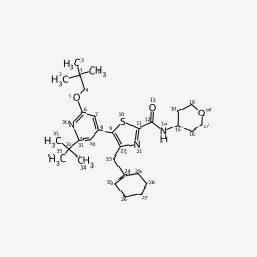 CC(C)(C)COc1cc(-c2sc(C(=O)NC3CCOCC3)nc2CC2CCCCC2)cc(C(C)(C)C)n1